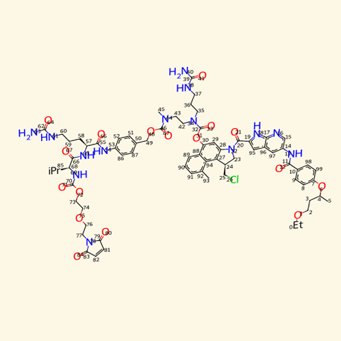 CCOCCC(C)Oc1ccc(C(=O)Nc2cnc3[nH]c(C(=O)N4C[C@@H](CCl)c5c4cc(OC(=O)N(CCCNC(N)=O)CCN(C)C(=O)OCc4ccc(NC(=O)[C@H](CCCNC(N)=O)NC(=O)[C@@H](NC(=O)OCCOCCN6C(=O)C=CC6=O)C(C)C)cc4)c4cccc(C)c54)cc3c2)cc1